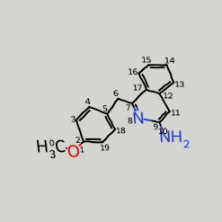 COc1ccc(Cc2nc(N)cc3ccccc23)cc1